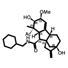 C=C1C[C@]23C[C@]1(O)CC[C@H]2C1=C[C@H](OC)[C@H](O)[C@@](C)(C(C)=O)[C@H]1[C@@H]3C(=O)NCC1CCCCC1